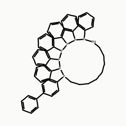 c1ccc(-c2ccc(P3CCCCCCCCPP(c4ccccc4)P(c4ccccc4)P(c4ccccc4)P(c4ccccc4)P(c4ccccc4)P3c3ccccc3)cc2)cc1